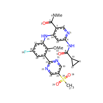 CNC(=O)c1cnc(NC(=O)C2CC2)cc1Nc1cc(F)cc(-c2ncc(S(C)(=O)=O)cn2)c1OC